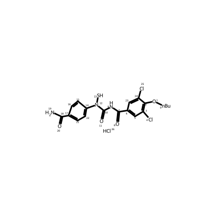 CCCCOc1c(Cl)cc(C(=O)NC(=O)N(S)c2ccc(C(N)=O)cc2)cc1Cl.Cl